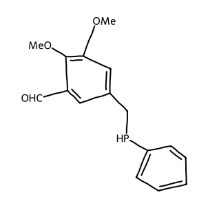 COc1cc(CPc2ccccc2)cc(C=O)c1OC